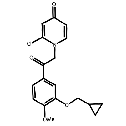 COc1ccc(C(=O)Cn2ccc(=O)cc2Cl)cc1OCC1CC1